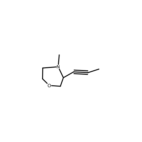 CC#CC1COCCN1C